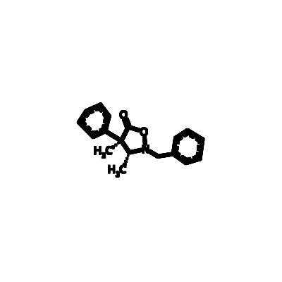 C[C@H]1N(Cc2ccccc2)OC(=O)[C@]1(C)c1ccccc1